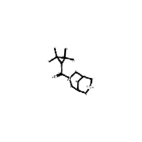 CC1(C)C(C(=O)N2CC3CNCC(C3)C2)C1(C)C